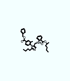 CCCCc1ncc(CNc2ccccc2C(=O)OC(C)CCCC)n1-c1ccc(C(=O)OCc2ccccc2)cc1C